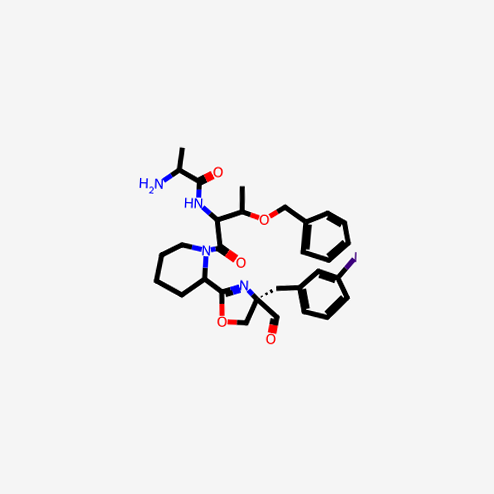 CC(N)C(=O)NC(C(=O)N1CCCCC1C1=N[C@](C=O)(Cc2cccc(I)c2)CO1)C(C)OCc1ccccc1